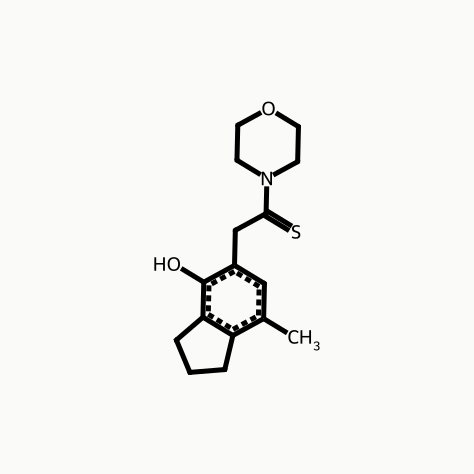 Cc1cc(CC(=S)N2CCOCC2)c(O)c2c1CCC2